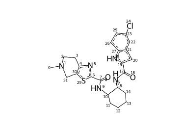 CN1CCc2nc(C(=O)NC3CCCC[C@@H]3NC(=O)c3cc4cc(Cl)ccc4[nH]3)sc2C1